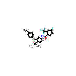 Cc1ccc(B2OC(C)(C)c3ccc(NC(=O)c4ccc(F)cc4C(F)(F)F)cc32)cc1